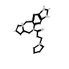 O=C(CCN1CCCC1)N1CC2CCCN2Cc2cc3c(cc21)OCO3